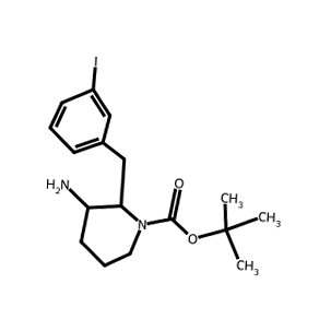 CC(C)(C)OC(=O)N1CCCC(N)C1Cc1cccc(I)c1